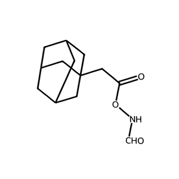 O=CNOC(=O)CC12CC3CC(CC(C3)C1)C2